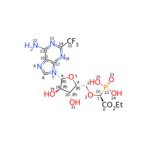 CCOC(=O)[C@@H](OC[C@H]1O[C@@H](n2cnc3c(N)nc(C(F)(F)F)nc32)[C@H](O)[C@H]1O)P(=O)(O)O